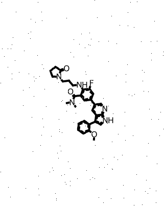 COc1ccccc1-c1c[nH]c2ncc(-c3cc(F)c(NCCCN4CCCC4=O)c(C(=O)N(C)C)c3)cc12